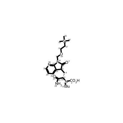 CC(C)(C)N(C(=O)O)[C@@H](CC1C(=O)N(COCC[Si](C)(C)C)c2ncccc21)C(N)=O